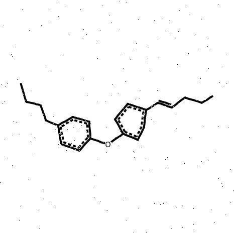 CCCC=Cc1ccc(Oc2ccc(CCCC)cc2)cc1